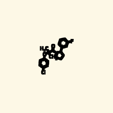 CC(C)(Oc1ccc(Cl)cc1)C(=O)N1CCCC1c1cccc(F)c1